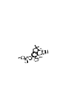 CC1(C)Cc2cc(OCC(=O)O)c(Cl)c(Cl)c2C1=NO